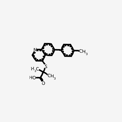 Cc1ccc(-c2ccc3nccc(SC(C)(C)C(=O)O)c3c2)cc1